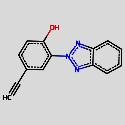 C#Cc1ccc(O)c(-n2nc3ccccc3n2)c1